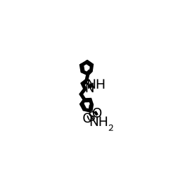 NS(=O)(=O)c1ccc(Cc2cc(-c3ccccc3)[nH]n2)cc1